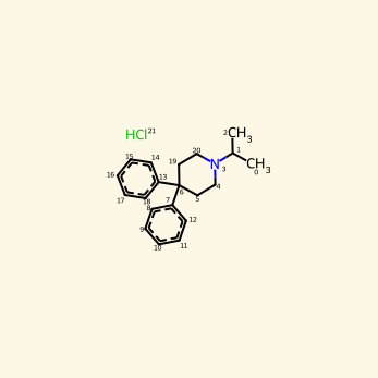 CC(C)N1CCC(c2ccccc2)(c2ccccc2)CC1.Cl